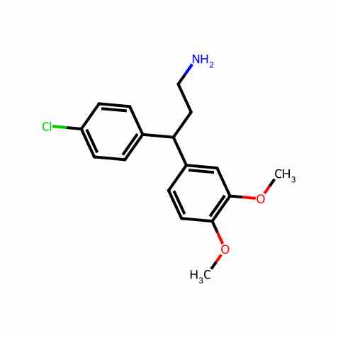 COc1ccc(C(CCN)c2ccc(Cl)cc2)cc1OC